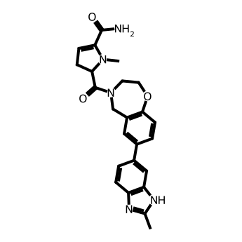 Cc1nc2ccc(-c3ccc4c(c3)CN(C(=O)C3CC=C(C(N)=O)N3C)CCO4)cc2[nH]1